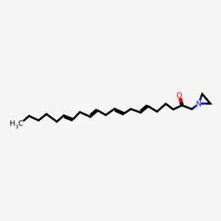 CCCCCC=CCC=CCC=CCC=CCCCC(=O)CN1CC1